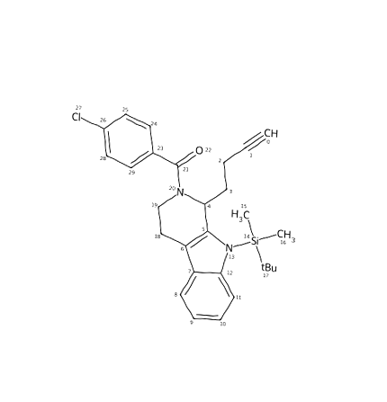 C#CCCC1c2c(c3ccccc3n2[Si](C)(C)C(C)(C)C)CCN1C(=O)c1ccc(Cl)cc1